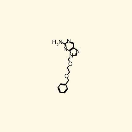 Nc1ncc2ncn(COCCOCc3ccccc3)c2n1